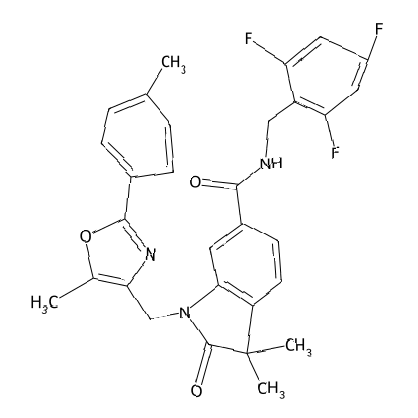 Cc1ccc(-c2nc(CN3C(=O)C(C)(C)c4ccc(C(=O)NCc5c(F)cc(F)cc5F)cc43)c(C)o2)cc1